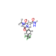 CNC(=O)[C@H]1C[C@@]2(C1)C(=O)N(C(C)C)CC(=O)N2Cc1ccc(C(F)(F)F)cc1